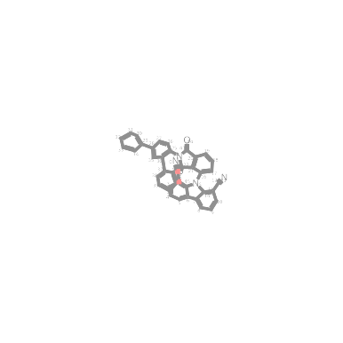 N#Cc1cccc2c3cccc(C#N)c3n(-c3cccc4c3C(=O)N(c3ccc(-c5ccccc5)cc3-c3ccccc3)C4=O)c12